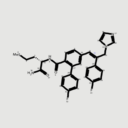 CSCC[C@H](NC(=O)c1ccc(/C=C(/Cn2ccnc2)c2ccc(F)cc2)cc1-c1ccc(F)cc1)C(N)=O